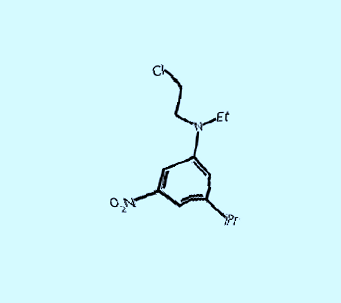 CCN(CCCl)c1cc([C](C)C)cc([N+](=O)[O-])c1